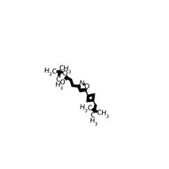 CC(C)(C)C[C@H]1C[C@@H](c2cc(CCC(=O)OC(C)(C)C)no2)C1